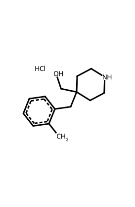 Cc1ccccc1CC1(CO)CCNCC1.Cl